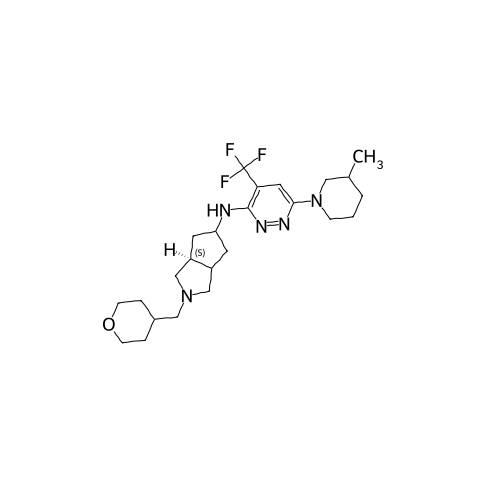 CC1CCCN(c2cc(C(F)(F)F)c(NC3CC4CN(CC5CCOCC5)C[C@H]4C3)nn2)C1